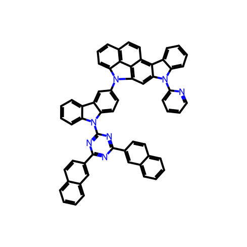 c1ccc(-n2c3ccccc3c3c4ccc5cccc6c5c4c(cc32)n6-c2ccc3c(c2)c2ccccc2n3-c2nc(-c3ccc4ccccc4c3)nc(-c3ccc4ccccc4c3)n2)nc1